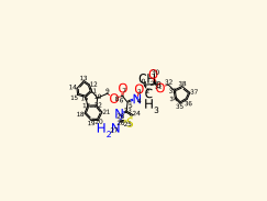 CC(C)(O/N=C(\C(=O)OCC1c2ccccc2-c2ccccc21)c1csc(N)n1)C(=O)OCc1ccccc1